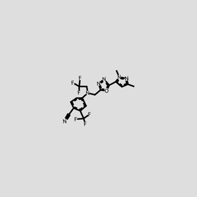 Cc1cc(-c2nnc(CN(CC(F)(F)F)c3ccc(C#N)c(C(F)(F)F)c3)o2)n(C)n1